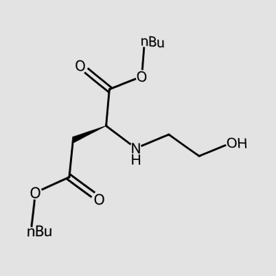 CCCCOC(=O)C[C@H](NCCO)C(=O)OCCCC